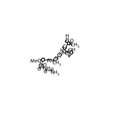 COc1ccc(C#CCNC2(C)CCN(C3CCN(c4nc([C@@](CO)(OC5CC5)c5ccccc5)c5cc(-c6cn(C)c(=O)c7[nH]ccc67)ccc5n4)CC3)CC2)cc1N1CCC(=O)N(CNC(=O)CCC(N)=O)C1=O